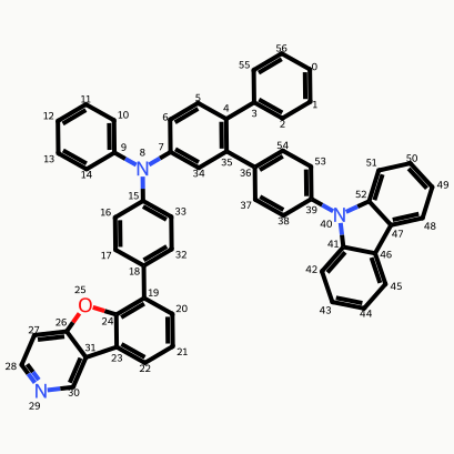 c1ccc(-c2ccc(N(c3ccccc3)c3ccc(-c4cccc5c4oc4ccncc45)cc3)cc2-c2ccc(-n3c4ccccc4c4ccccc43)cc2)cc1